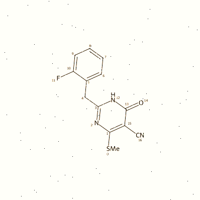 CSc1nc(Cc2ccccc2F)[nH]c(=O)c1C#N